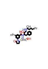 CCCc1cc(C(=O)NC(Cc2ccccc2)C(O)CNC(C)CCCC(C)C)cc(N2CCCC2=O)c1.O=CO